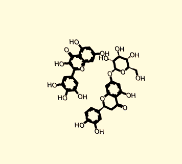 O=C1C[C@@H](c2ccc(O)c(O)c2)Oc2cc(O[C@@H]3O[C@H](CO)[C@@H](O)[C@H](O)[C@H]3O)cc(O)c21.O=c1c(O)c(-c2cc(O)c(O)c(O)c2)oc2cc(O)cc(O)c12